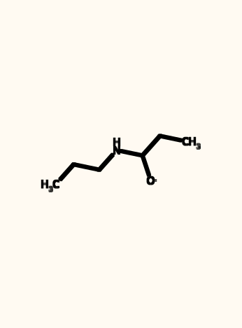 CCCNC([O])CC